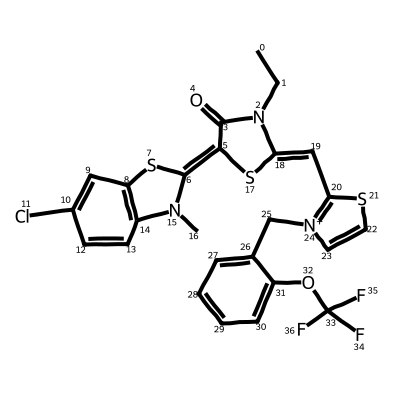 CCn1c(=O)/c(=C2\Sc3cc(Cl)ccc3N2C)s/c1=C\c1scc[n+]1Cc1ccccc1OC(F)(F)F